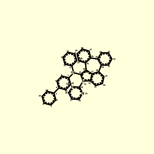 c1ccc(-c2ccc(N(c3ccccc3)c3c4c5c(cccc5n3-c3ncccn3)-c3ccccc3-c3ccccc3-4)cc2)cc1